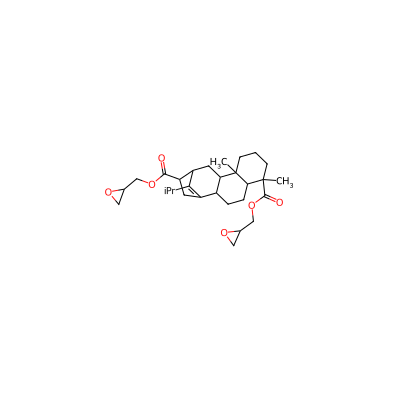 CC(C)C1=C2CC(C(=O)OCC3CO3)C1CC1C2CCC2C(C)(C(=O)OCC3CO3)CCCC12C